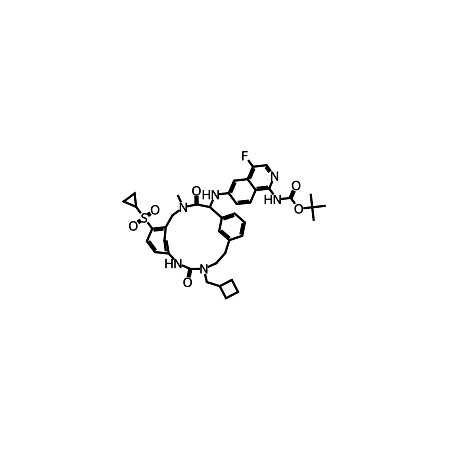 CN1Cc2cc(ccc2S(=O)(=O)C2CC2)NC(=O)N(CC2CCC2)CCc2cccc(c2)C(Nc2ccc3c(NC(=O)OC(C)(C)C)ncc(F)c3c2)C1=O